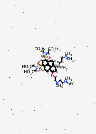 CCCN(C)CCN(C)CCOc1cc(N(C)CCCN(C)C)c2ccc3c(S(=O)(=O)N(CC(=O)O)CC(=O)O)cc(S(=O)(=O)N(CC(=O)O)CC(=O)O)c4ccc1c2c43